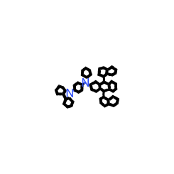 c1ccc(N(c2ccc(-n3c4ccccc4c4ccccc43)cc2)c2ccc3c(-c4cccc5ccccc45)c4ccccc4c(-c4cccc5ccccc45)c3c2)cc1